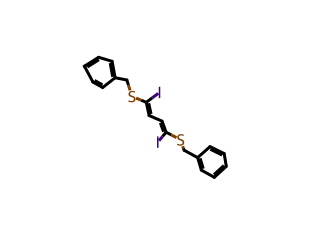 IC(=CC=C(I)SCc1ccccc1)SCc1ccccc1